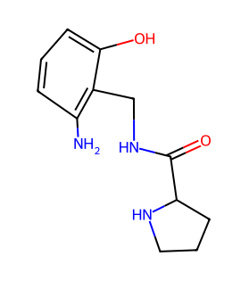 Nc1cccc(O)c1CNC(=O)C1CCCN1